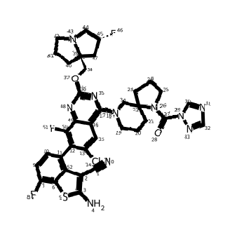 N#Cc1c(N)sc2c(F)ccc(-c3c(Cl)cc4c(N5CCCC6(CCCN6C(=O)n6cncn6)C5)nc(OC[C@@]56CCCN5C[C@H](F)C6)nc4c3F)c12